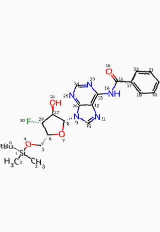 CC(C)(C)[Si](C)(C)OC[C@H]1O[C@@H](n2cnc3c(NC(=O)c4ccccc4)ncnc32)[C@H](O)[C@H]1F